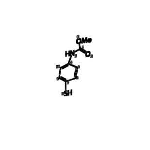 COC(=O)Nc1ccc(S)cc1